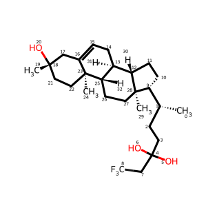 C[C@H](CCC(O)(O)CC(F)(F)F)[C@H]1CC[C@H]2[C@@H]3CC=C4C[C@@](C)(O)CC[C@]4(C)[C@H]3CC[C@]12C